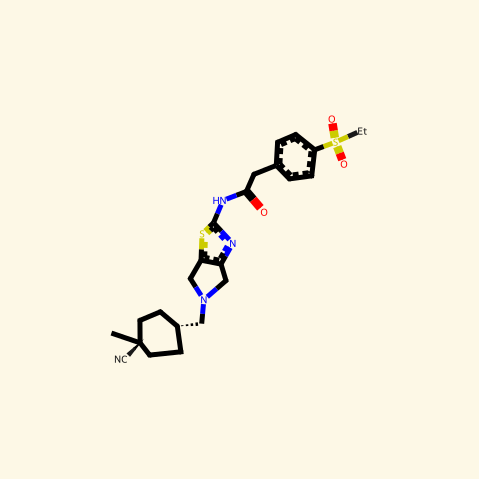 CCS(=O)(=O)c1ccc(CC(=O)Nc2nc3c(s2)CN(C[C@H]2CC[C@](C)(C#N)CC2)C3)cc1